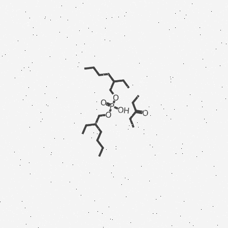 CCC(=O)CC.CCCCC(CC)COP(=O)(O)OCC(CC)CCCC